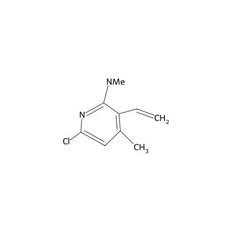 C=Cc1c(C)cc(Cl)nc1NC